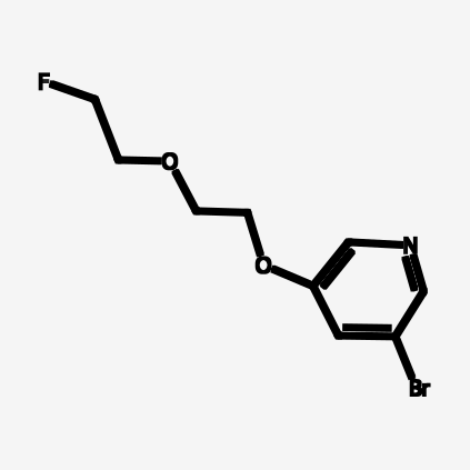 FCCOCCOc1cncc(Br)c1